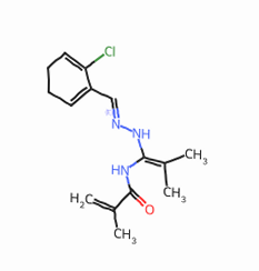 C=C(C)C(=O)NC(N/N=C/C1=CCCC=C1Cl)=C(C)C